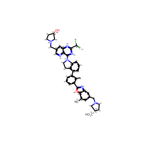 Cc1c(-c2nc3cc(CN4CC[C@H](C(=O)O)C4)cc(C#N)c3o2)cccc1-c1cccc2c1CCN2c1nc(C(F)F)nc2cc(CN3CC[C@@H](O)C3)cnc12